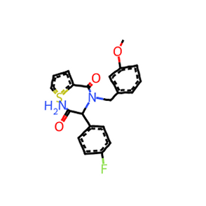 COc1cccc(CN(C(=O)c2cccs2)C(C(N)=O)c2ccc(F)cc2)c1